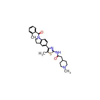 Cc1ccccc1C(=O)N1CCc2cc(-c3nc(NC(=O)CC4CCN(C)CC4)sc3C)ccc21